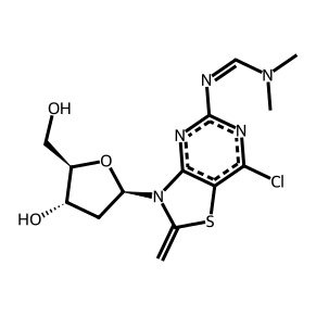 C=C1Sc2c(Cl)nc(/N=C\N(C)C)nc2N1[C@H]1C[C@H](O)[C@@H](CO)O1